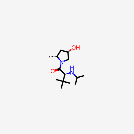 CC(C)N[C@H](C(=O)N1C[C@H](O)C[C@H]1C)C(C)(C)C